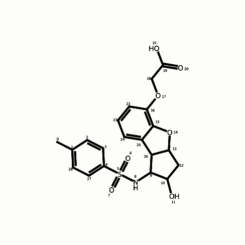 Cc1ccc(S(=O)(=O)NC2C(O)CC3Oc4c(OCC(=O)O)cccc4C32)cc1